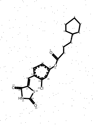 O=C(CCCC1CCCCC1)Oc1ccc(/C=C2\SC(=O)NC2=O)c(Cl)c1